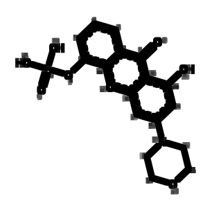 O=c1c2cccc(OP(=O)(O)O)c2oc2cc(N3CCOCC3)cc(O)c12